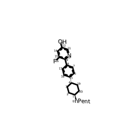 CCCCC[C@H]1CC[C@H](c2ccc(-c3ncc(O)cc3F)cc2)CC1